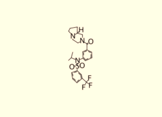 CC(C)N(c1cccc(C(=O)N2CCN3CCC[C@@H]3C2)c1)S(=O)(=O)c1cccc(C(F)(F)F)c1